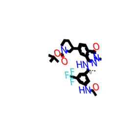 CC(=O)Nc1cc([C@@H](C)Nc2nn(C)c(=O)c3ccc(C4CCCN(C(=O)OC(C)(C)C)C4)cc23)cc(C(F)(F)F)c1